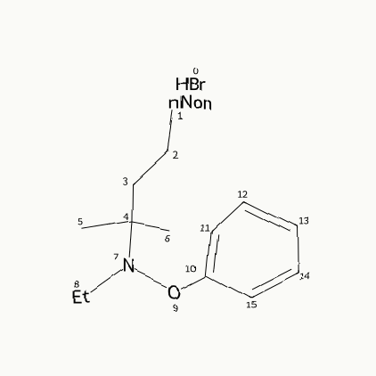 Br.CCCCCCCCCCCC(C)(C)N(CC)Oc1ccccc1